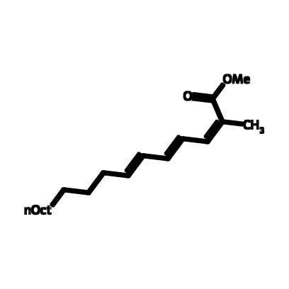 CCCCCCCCCCCC=CC=CC=C(C)C(=O)OC